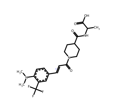 CC(NC(=O)C1CCN(C(=O)/C=C/c2ccc(N(C)C)c(C(F)(F)F)c2)CC1)C(=O)O